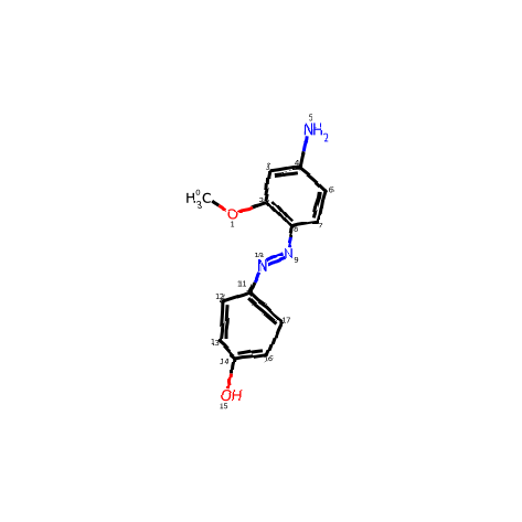 COc1cc(N)ccc1N=Nc1ccc(O)cc1